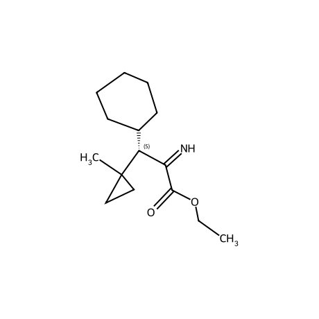 CCOC(=O)C(=N)[C@@H](C1CCCCC1)C1(C)CC1